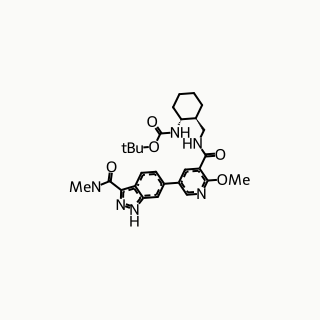 CNC(=O)c1n[nH]c2cc(-c3cnc(OC)c(C(=O)NC[C@@H]4CCCC[C@H]4NC(=O)OC(C)(C)C)c3)ccc12